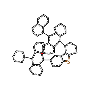 c1ccc(-c2c3ccccc3c(-c3ccc4sc5cccc(-c6c7ccccc7c(-c7cccc8ccccc78)c7ccccc67)c5c4c3)c3ccccc23)cc1